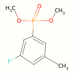 COP(=O)(OC)c1cc(C)cc(F)c1